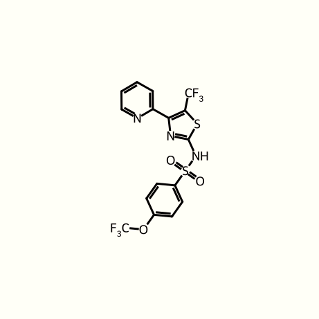 O=S(=O)(Nc1nc(-c2ccccn2)c(C(F)(F)F)s1)c1ccc(OC(F)(F)F)cc1